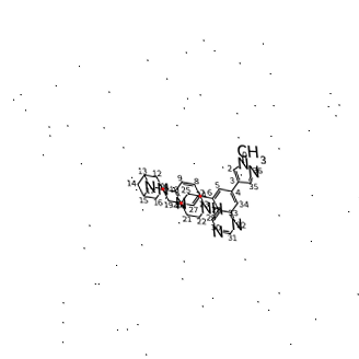 Cn1cc(-c2cc(-c3ccc(N4CC5CC(C4)N5CCC4CCNCC4)nc3)c3cncnc3c2)cn1